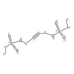 CCS(=O)(=O)OCC#CCOS(=O)(=O)CC